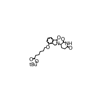 CC(C)(C)OC(=O)CCCCCOc1cccc2c1CN(C1CCC(=O)NC1=O)C2=O